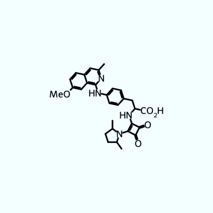 COc1ccc2cc(C)nc(Nc3ccc(CC(Nc4c(N5C(C)CCC5C)c(=O)c4=O)C(=O)O)cc3)c2c1